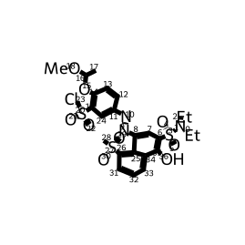 CCN(CC)S(=O)(=O)c1cc(/N=N/c2ccc(OC(C)OC)c(S(=O)(=O)Cl)c2)c2c(S(C)(=O)=O)cccc2c1O